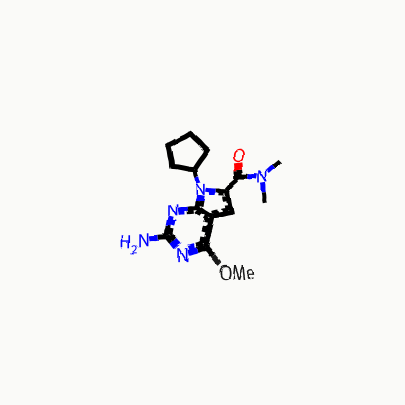 COc1nc(N)nc2c1cc(C(=O)N(C)C)n2C1CCCC1